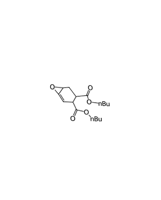 CCCCOC(=O)C1C=C2OC2CC1C(=O)OCCCC